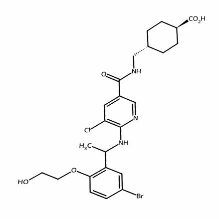 CC(Nc1ncc(C(=O)NC[C@H]2CC[C@H](C(=O)O)CC2)cc1Cl)c1cc(Br)ccc1OCCO